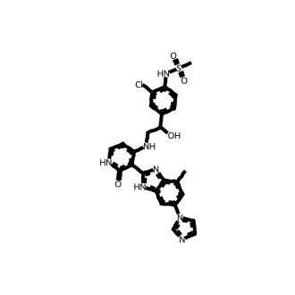 Cc1cc(-n2ccnc2)cc2[nH]c(-c3c(NCC(O)c4ccc(NS(C)(=O)=O)c(Cl)c4)cc[nH]c3=O)nc12